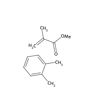 C=C(C)C(=O)OC.Cc1ccccc1C